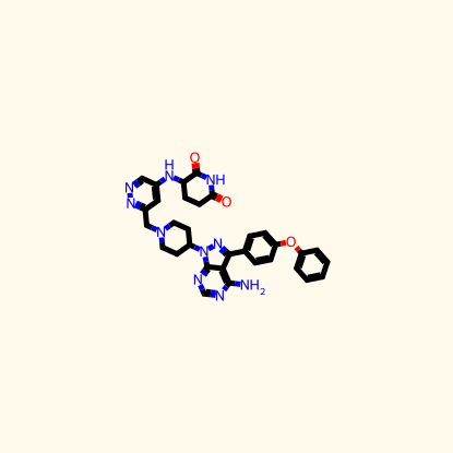 Nc1ncnc2c1c(-c1ccc(Oc3ccccc3)cc1)nn2C1CCN(Cc2cc(NC3CCC(=O)NC3=O)cnn2)CC1